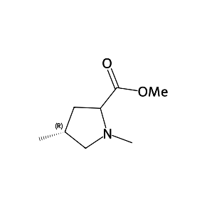 COC(=O)C1C[C@@H](C)CN1C